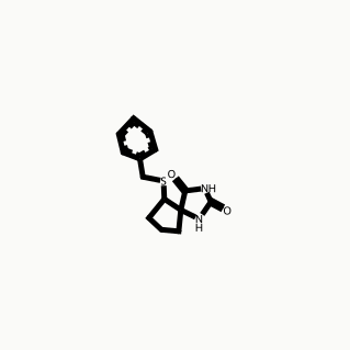 O=C1NC(=O)C2(CCCC2SCc2ccccc2)N1